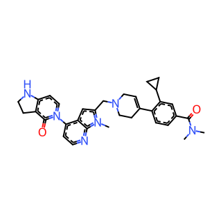 CN(C)C(=O)c1ccc(C2=CCN(Cc3cc4c(-n5ccc6c(c5=O)CCN6)ccnc4n3C)CC2)c(C2CC2)c1